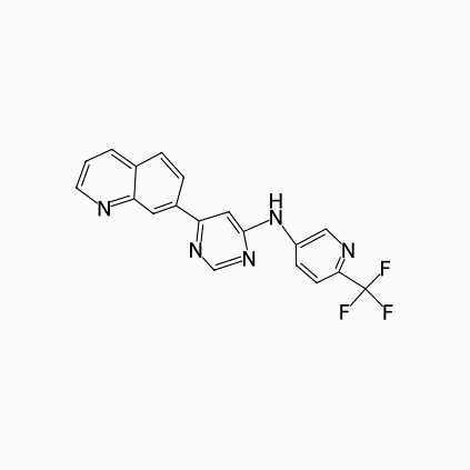 FC(F)(F)c1ccc(Nc2cc(-c3ccc4cccnc4c3)ncn2)cn1